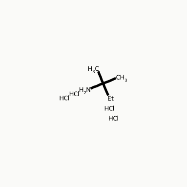 CCC(C)(C)N.Cl.Cl.Cl.Cl